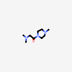 CN(C)CC(=O)N1CCN(C)CC1